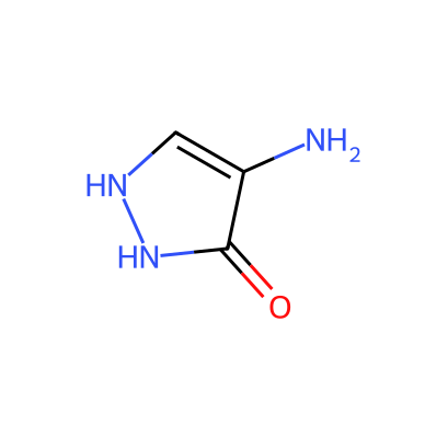 Nc1c[nH][nH]c1=O